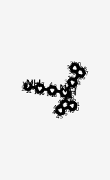 C1=C(c2ccc(-c3ccc(-c4ccc[nH]4)cc3)cc2)N=C(c2ccc(-c3cccc4ccccc34)cc2)[C@@H]2CC12c1cc2ccccc2c2ccccc12